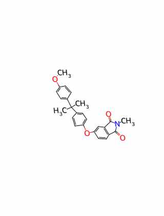 COc1ccc(C(C)(C)c2ccc(Oc3ccc4c(c3)C(=O)N(C)C4=O)cc2)cc1